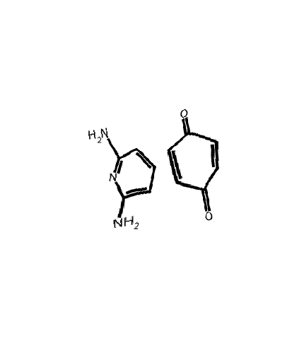 Nc1cccc(N)n1.O=C1C=CC(=O)C=C1